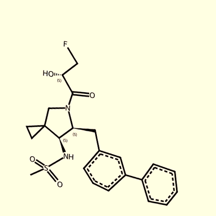 CS(=O)(=O)N[C@@H]1[C@H](Cc2cccc(-c3ccccc3)c2)N(C(=O)[C@H](O)CF)CC12CC2